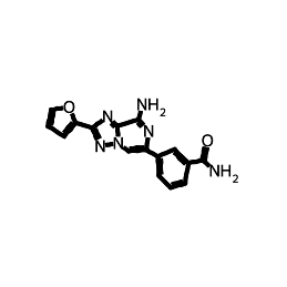 NC(=O)c1cccc(-c2cn3nc(-c4ccco4)nc3c(N)n2)c1